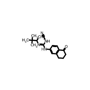 CC(/N=C(\NC#N)Nc1ccc2c(c1)CCCC2=O)C(C)(C)C